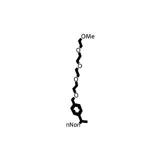 CCCCCCCCCC(C)c1ccc(COCCOCCOCCOCCOC)cc1